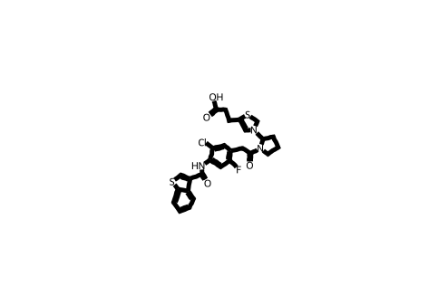 O=C(O)CCC1=CN(C2CCCN2C(=O)Cc2cc(Cl)c(NC(=O)c3csc4ccccc34)cc2F)CS1